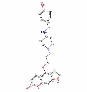 O=c1ccc2c(OCCCN3CCC(NCc4ccc(O)cc4)CC3)c3ccoc3cc2o1